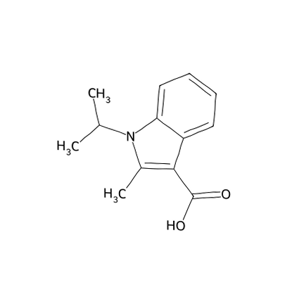 Cc1c(C(=O)O)c2ccccc2n1C(C)C